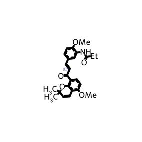 CCC(=O)Nc1cc(/C=C/C(=O)c2ccc(OC)c3c2OC(C)(C)C=C3)ccc1OC